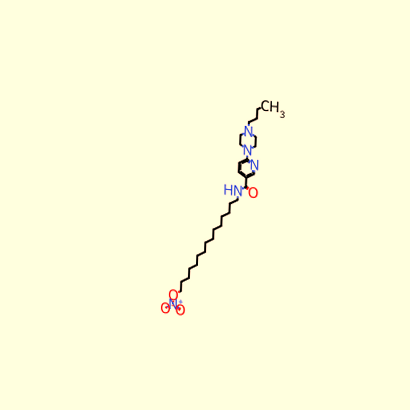 CCCCN1CCN(c2ccc(C(=O)NCCCCCCCCCCCCCCCO[N+](=O)[O-])cn2)CC1